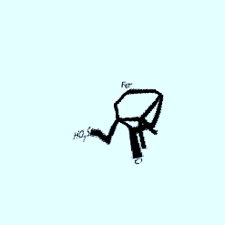 CC1(C)C2CCC1(CS(=O)(=O)O)C(=O)C2.[Fe]